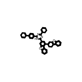 C1=CCCC(C2=NC(c3ccc(C4=CCCC=C4)cc3)NC(c3cc(C4=Cc5oc6ccccc6c5CC4)c4c(c3)oc3ccccc34)=N2)=C1